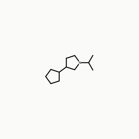 CC(C)N1CCC(C2CCCC2)C1